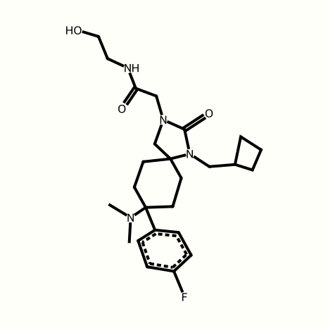 CN(C)C1(c2ccc(F)cc2)CCC2(CC1)CN(CC(=O)NCCO)C(=O)N2CC1CCC1